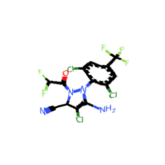 N#CC1C(Cl)=C(N)N(c2c(Cl)cc(C(F)(F)F)cc2Cl)N1C(=O)C(F)F